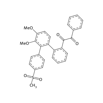 COc1ccc(-c2ccccc2C(=O)C(=O)c2ccccc2)c(-c2ccc(S(C)(=O)=O)cc2)c1OC